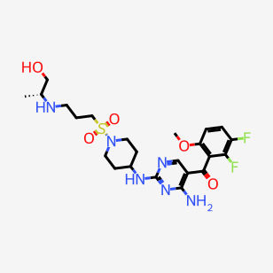 COc1ccc(F)c(F)c1C(=O)c1cnc(NC2CCN(S(=O)(=O)CCCN[C@H](C)CO)CC2)nc1N